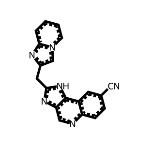 N#Cc1ccc2ncc3nc(Cc4cn5ccccc5n4)[nH]c3c2c1